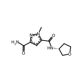 Cn1nc(C(N)=O)[c]c1C(=O)N[C@@H]1CCOC1